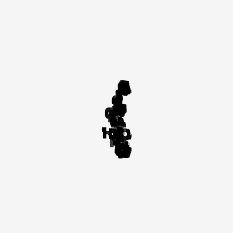 O=C(Nc1nc2ccccc2s1)N1CCN(C(=O)c2cccc(OCCC3CCCCC3)c2)CC1